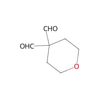 O=CC1(C=O)CCOCC1